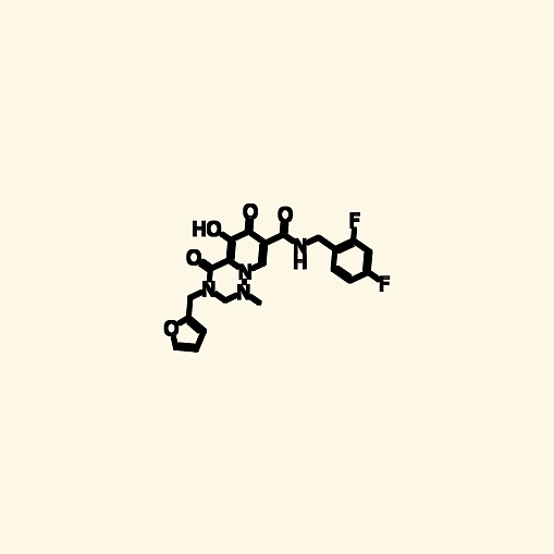 CN1CN(Cc2ccco2)C(=O)c2c(O)c(=O)c(C(=O)NCc3ccc(F)cc3F)cn21